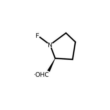 O=[C][C@@H]1CCCN1F